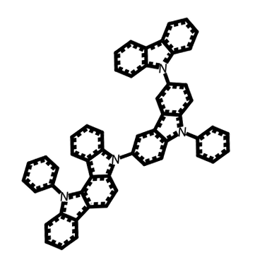 c1ccc(-n2c3ccc(-n4c5ccccc5c5ccccc54)cc3c3cc(-n4c5ccccc5c5c4ccc4c6ccccc6n(-c6ccccc6)c45)ccc32)cc1